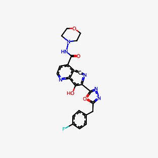 O=C(NN1CCOCC1)c1ccnc2c(O)c(-c3nnc(Cc4ccc(F)cc4)o3)ncc12